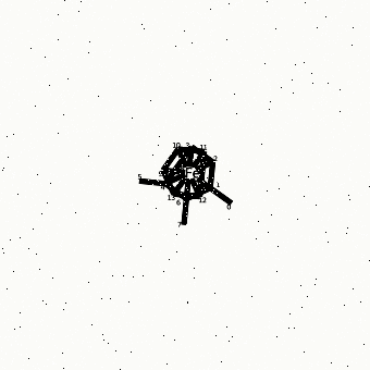 C[C]12[CH]3[CH]4[C]5(C)[C]1(C)[Fe]34251678[CH]2[CH]1[CH]6[CH]7[CH]28